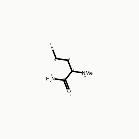 CNC(CCF)C(N)=O